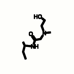 CCC(C)NC(=O)CN(C)CCO